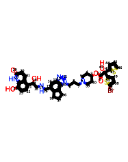 O=C(OC1CCN(CCCn2nnc3cc(CNC[C@H](O)c4ccc(O)c5[nH]c(=O)ccc45)c4c(c32)CCC4)CC1)[C@](O)(c1cccs1)c1ccc(Br)s1